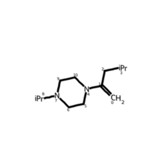 C=C(CC(C)C)N1CCN(C(C)C)CC1